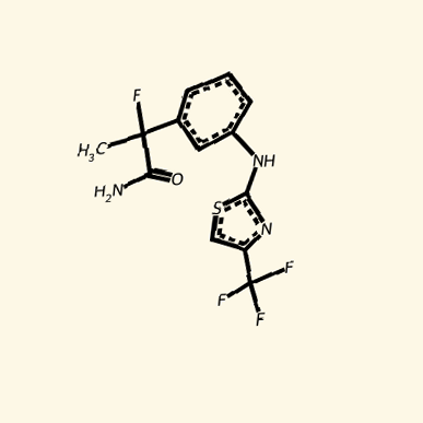 CC(F)(C(N)=O)c1cccc(Nc2nc(C(F)(F)F)cs2)c1